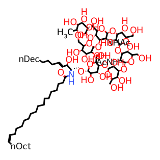 CCCCCCCC/C=C\CCCCCCCCCCCCCCCC(=O)N[C@@H](CO[C@@H]1OC(CO)[C@@H](O[C@@H]2OC(CO)[C@H](O)[C@H](O[C@@H]3OC(CO)[C@@H](O)[C@H](O[C@@H]4OC(CO)[C@H](O)[C@H](O[C@@H]5OC(CO)[C@@H](O[C@H]6OC(C)[C@@H](O)C(O)[C@@H]6O)[C@H](O[C@@H]6OC(CO)[C@H](O)[C@H](O)C6O)C5NC(C)=O)C4O)C3NC(C)=O)C2O)[C@H](O)C1O)[C@H](O)/C=C/CCCCCCCCCCCCC